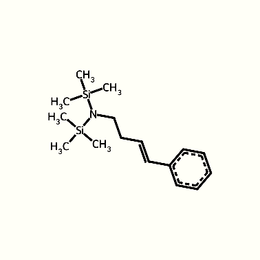 C[Si](C)(C)N(CCC=Cc1ccccc1)[Si](C)(C)C